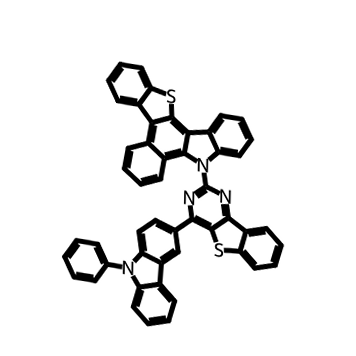 c1ccc(-n2c3ccccc3c3cc(-c4nc(-n5c6ccccc6c6c7sc8ccccc8c7c7ccccc7c65)nc5c4sc4ccccc45)ccc32)cc1